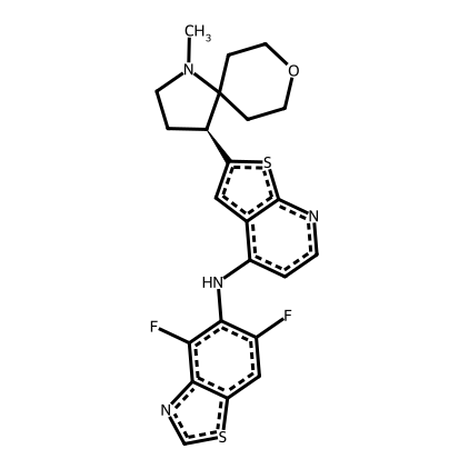 CN1CC[C@H](c2cc3c(Nc4c(F)cc5scnc5c4F)ccnc3s2)C12CCOCC2